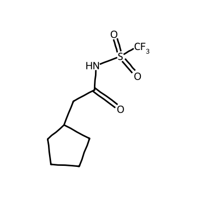 O=C(CC1CCCC1)NS(=O)(=O)C(F)(F)F